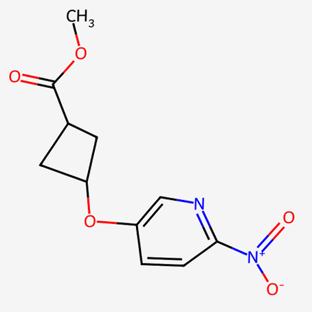 COC(=O)C1CC(Oc2ccc([N+](=O)[O-])nc2)C1